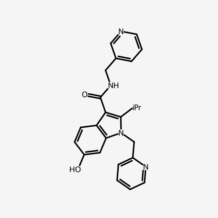 CC(C)c1c(C(=O)NCc2cccnc2)c2ccc(O)cc2n1Cc1ccccn1